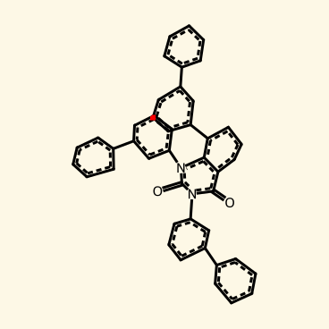 O=c1c2cccc(-c3cccc(-c4ccccc4)c3)c2n(-c2cccc(-c3ccccc3)c2)c(=O)n1-c1cccc(-c2ccccc2)c1